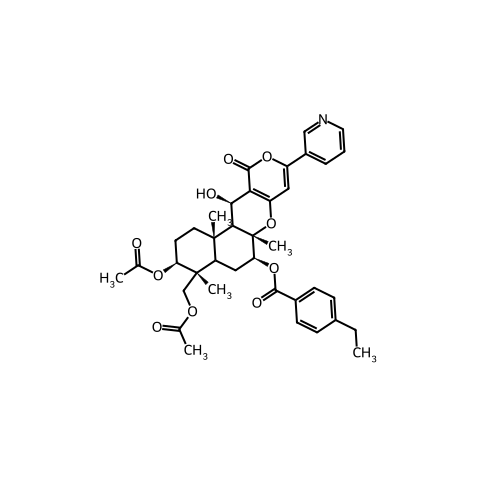 CCc1ccc(C(=O)O[C@H]2CC3[C@](C)(CC[C@H](OC(C)=O)[C@@]3(C)COC(C)=O)C3[C@@H](O)c4c(cc(-c5cccnc5)oc4=O)O[C@@]32C)cc1